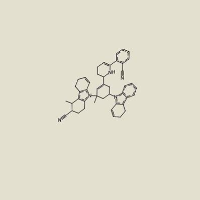 CC1c2c3c(n(C4(C)C=C(C5CCC=C(c6ccccc6C#N)N5)CC(n5c6c(c7ccccc75)CCC=C6)C4)c2CCC1C#N)C=CCC3